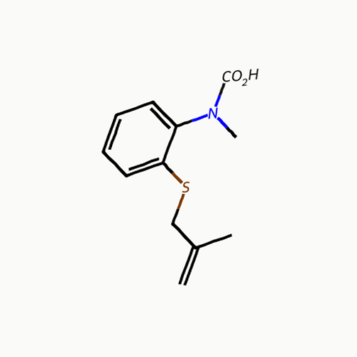 C=C(C)CSc1ccccc1N(C)C(=O)O